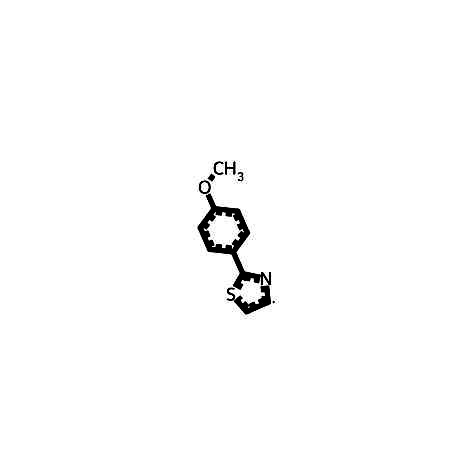 COc1ccc(-c2n[c]cs2)cc1